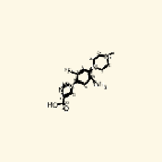 CN1CCN(c2cc(F)c(-n3cc(C(=O)O)nn3)cc2N)CC1